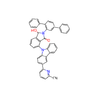 N#Cc1cccc(-c2ccc3c(c2)c2ccccc2n3-c2cccc3c2C(=O)N(c2cc(-c4ccccc4)ccc2-c2ccccc2)C3O)n1